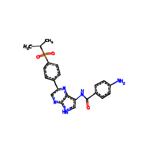 CC(C)S(=O)(=O)c1ccc(-c2cnc3[nH]cc(NC(=O)c4ccc(N)cc4)c3n2)cc1